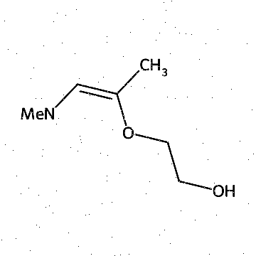 CN/C=C(/C)OCCO